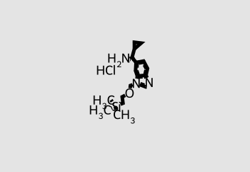 C[Si](C)(C)CCOCn1cnc2ccc([C@H](N)C3CC3)cc21.Cl